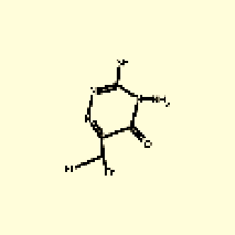 CCC(CC)c1nnc(S)n(N)c1=O